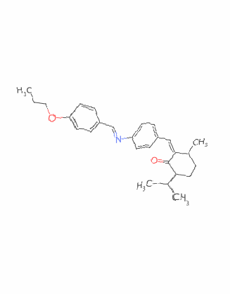 CCCOc1ccc(C=Nc2ccc(C=C3C(=O)C(C(C)C)CCC3C)cc2)cc1